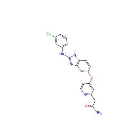 Cn1c(Nc2cccc(Cl)c2)nc2cc(Oc3ccnc(CC(N)=O)c3)ccc21